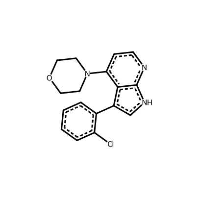 Clc1ccccc1-c1c[nH]c2nccc(N3CCOCC3)c12